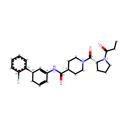 CCC(=O)N1CCC[C@@H]1C(=O)N1CCC(C(=O)NC2=C[C@H](c3ccccc3F)CC=C2)CC1